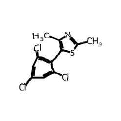 Cc1nc(C)c(-c2c(Cl)cc(Cl)cc2Cl)s1